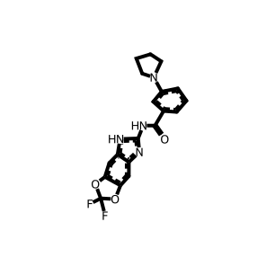 O=C(Nc1nc2cc3c(cc2[nH]1)OC(F)(F)O3)c1cccc(N2CCCC2)c1